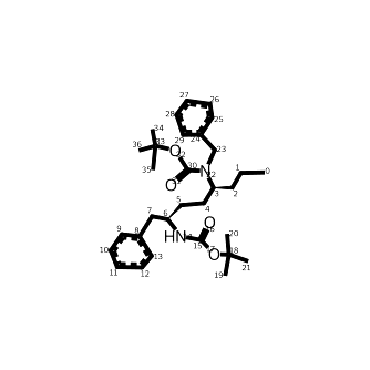 CCC[C@@H](CC[C@H](Cc1ccccc1)NC(=O)OC(C)(C)C)N(Cc1ccccc1)C(=O)OC(C)(C)C